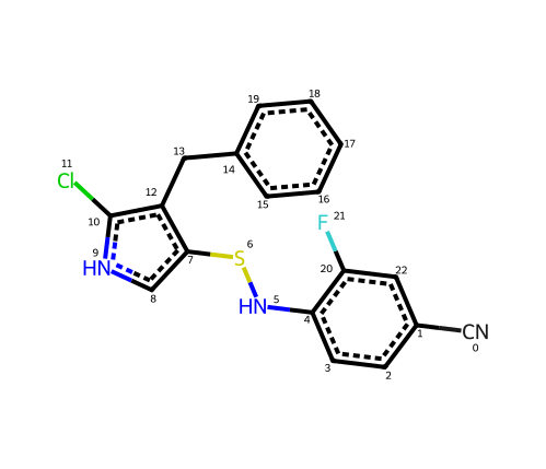 N#Cc1ccc(NSc2c[nH]c(Cl)c2Cc2ccccc2)c(F)c1